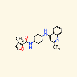 Cc1ccoc1C(=O)NC1CCC(Nc2cc(C(F)(F)F)nc3ccccc23)CC1